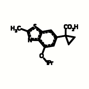 Cc1nc2c(OC(C)C)cc(C3(C(=O)O)CC3)cc2s1